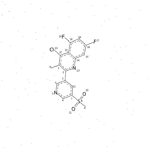 Cc1c(-c2cncc(S(C)(=O)=O)c2)nc2cc(F)cc(F)c2c1Cl